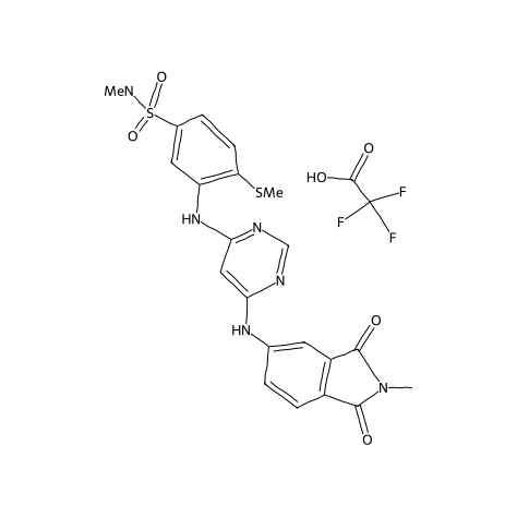 CNS(=O)(=O)c1ccc(SC)c(Nc2cc(Nc3ccc4c(c3)C(=O)N(C)C4=O)ncn2)c1.O=C(O)C(F)(F)F